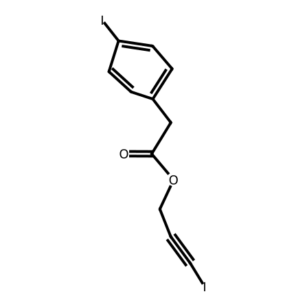 O=C(Cc1ccc(I)cc1)OCC#CI